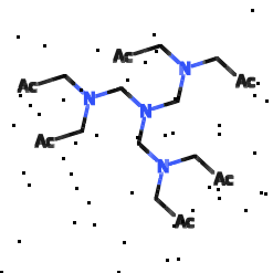 CC(=O)CN(CC(C)=O)CN(CN(CC(C)=O)CC(C)=O)CN(CC(C)=O)CC(C)=O